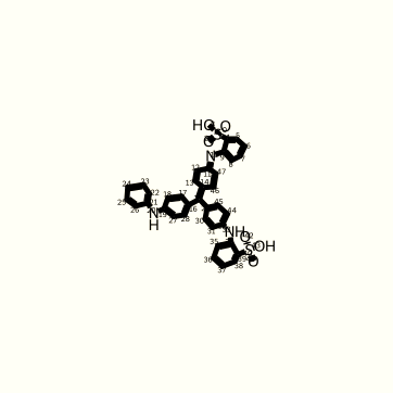 O=S(=O)(O)c1ccccc1N=C1C=CC(=C(c2ccc(Nc3ccccc3)cc2)c2ccc(Nc3ccccc3S(=O)(=O)O)cc2)C=C1